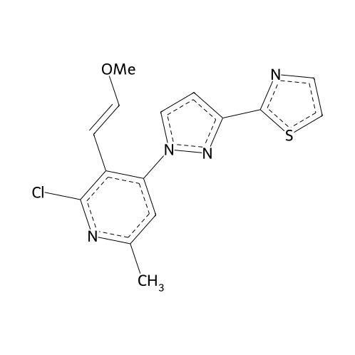 COC=Cc1c(-n2ccc(-c3nccs3)n2)cc(C)nc1Cl